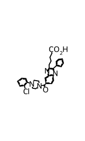 O=C(O)CCCCc1nc2cc(C(=O)N3CCN(c4ccccc4Cl)CC3)ccc2nc1-c1ccccc1